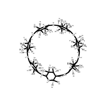 CC[C@H]1CC2O[C@H]3[C@H](C)[C@@H](C)C(OC4[C@@H](CC)CC(O[C@H]5[C@H](C)[C@@H](C)C(OC6[C@@H](CC)CC(O[C@H]7[C@H](C)[C@@H](C)C(O[C@H]8[C@H](C)[C@@H](C)C(OC1[C@H](C)[C@H]2C)O[C@@H]8CC)O[C@@H]7CC)[C@H](C)[C@H]6C)O[C@@H]5CC)[C@H](C)[C@H]4C)O[C@@H]3CC